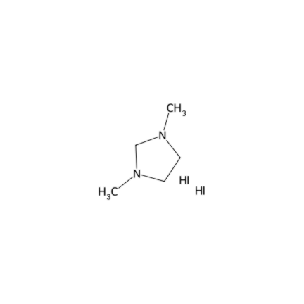 CN1CCN(C)C1.I.I